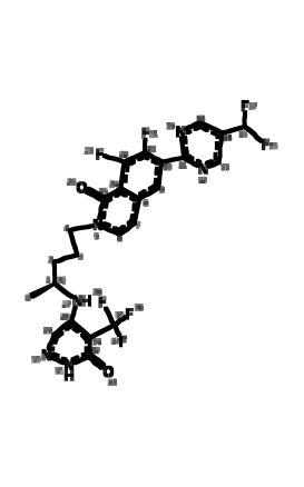 C[C@@H](CCCn1ccc2cc(-c3ncc(C(F)F)cn3)c(F)c(F)c2c1=O)Nc1cn[nH]c(=O)c1C(F)(F)F